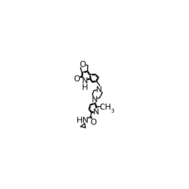 Cc1nc(C(=O)NC2CC2)ccc1N1CCN(Cc2ccc3c4c(c(=O)[nH]c3c2)COC4)CC1